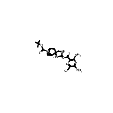 CC(C)(C)OC(=O)N1C=C2CC1CC21CN/C(=N\C(=O)c2nc(Cl)c(N)nc2N)N1